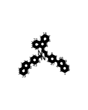 c1ccc2cc(-c3ccc(-c4cc(-c5cc6ccccc6c6ccccc56)nc(-c5ccc(-c6ccc7ccccc7c6)cc5)n4)cc3)ccc2c1